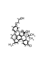 Cc1c([C@H](OC(C)(C)C)C(=O)O)c(-c2ccc(Cl)cc2)c2cc(C)n3c2c1N(c1ncc(OCCO)cn1)CC3